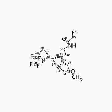 COc1ccc2cc(-c3cccc(C(F)(F)F)c3)cc(CCNC(=O)CI)c2c1